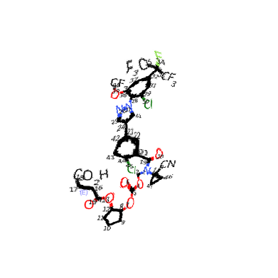 N#CC1(N(COC(=O)OC2CCCC2OC(=O)/C=C/C(=O)O)C(=O)c2cc(-c3cnn(-c4c(Cl)cc(C(F)(C(F)(F)F)C(F)(F)F)cc4OC(F)(F)F)c3)ccc2Cl)CC1